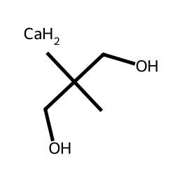 CC(C)(CO)CO.[CaH2]